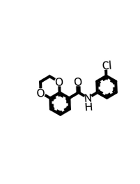 O=C(Nc1cccc(Cl)c1)c1cccc2c1OCCO2